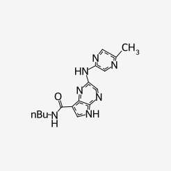 CCCCNC(=O)c1c[nH]c2ncc(Nc3cnc(C)cn3)nc12